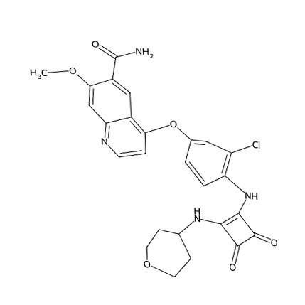 COc1cc2nccc(Oc3ccc(Nc4c(NC5CCOCC5)c(=O)c4=O)c(Cl)c3)c2cc1C(N)=O